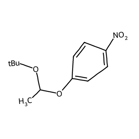 CC(Oc1ccc([N+](=O)[O-])cc1)OC(C)(C)C